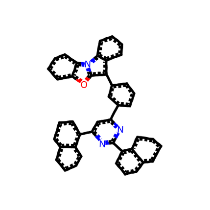 c1cc(-c2cc(-c3cccc4ccccc34)nc(-c3cccc4ccccc34)n2)cc(-c2c3ccccc3n3c2oc2ccccc23)c1